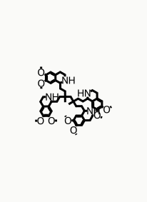 COc1cc2c(cc1OC)C(CCC(C)(CCC1NCCc3cc(OC)c(OC)cc31)CC(C)(CCC1NCCc3cc(OC)c(OC)cc31)CCC1NCCc3cc(OC)c(OC)cc31)NCC2